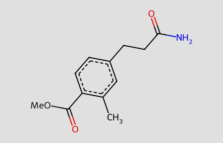 COC(=O)c1ccc(CCC(N)=O)cc1C